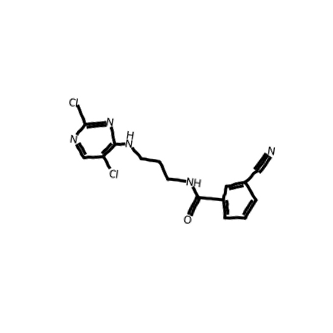 N#Cc1cccc(C(=O)NCCCNc2nc(Cl)ncc2Cl)c1